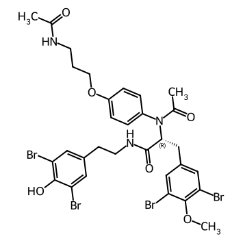 COc1c(Br)cc(C[C@H](C(=O)NCCc2cc(Br)c(O)c(Br)c2)N(C(C)=O)c2ccc(OCCCNC(C)=O)cc2)cc1Br